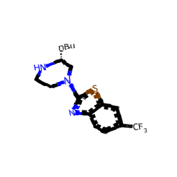 CCCC[C@@H]1CN(c2nc3ccc(C(F)(F)F)cc3s2)CCN1